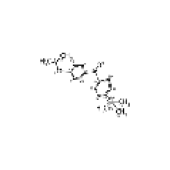 CC(C)Oc1ccc(C(=O)c2ccc([Si](C)(C)C)cc2)cc1